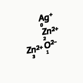 [Ag+].[O-2].[Zn+2].[Zn+2]